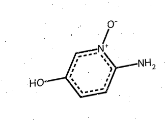 Nc1ccc(O)c[n+]1[O-]